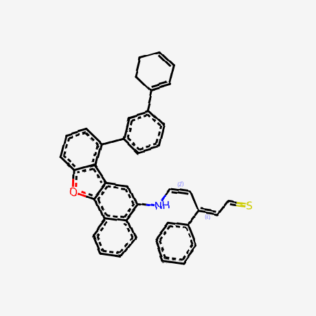 S=C/C=C(\C=C/Nc1cc2c(oc3cccc(-c4cccc(C5=CC=CCC5)c4)c32)c2ccccc12)c1ccccc1